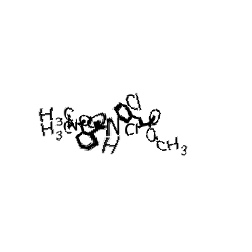 CCOC(=O)C(Cl)=Cc1cc(NC(=O)C2=C(C(=O)N(C)C)CCCC2)ccc1Cl